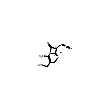 CC(=O)OCC1=C(C(=O)O)N2C(=O)[C@@H](N=C=O)[C@H]2SC1